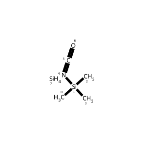 C[Si](C)(C)N=C=O.[SiH4]